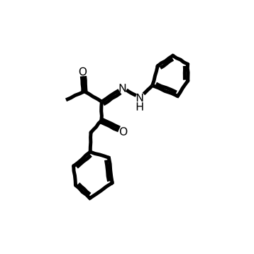 CC(=O)C(=NNc1ccccc1)C(=O)Cc1ccccc1